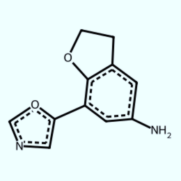 Nc1cc2c(c(-c3cnco3)c1)OCC2